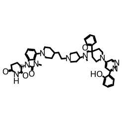 CN(C(=O)C1(c2ccccc2)CCN(c2cnnc(-c3ccccc3O)c2)CC1)C1CCN(CCC2CCN(c3cccc4c3n(C)c(=O)n4[C@@H]3CCC(=O)NC3=O)CC2)CC1